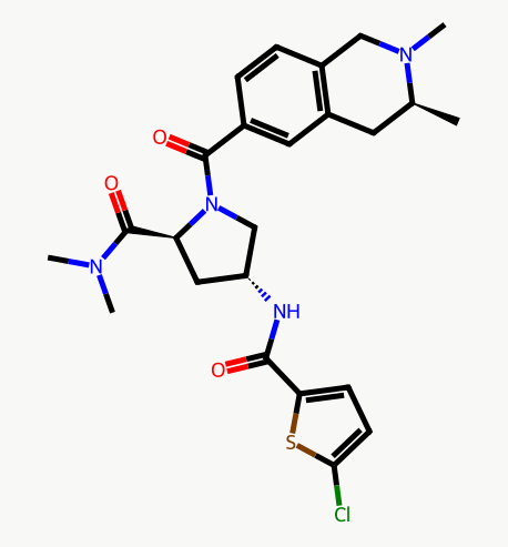 C[C@H]1Cc2cc(C(=O)N3C[C@H](NC(=O)c4ccc(Cl)s4)C[C@H]3C(=O)N(C)C)ccc2CN1C